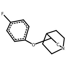 Fc1ccc(OC2CN3CCC2CC3)cc1